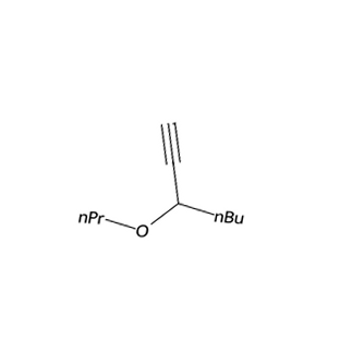 [C]#CC(CCCC)OCCC